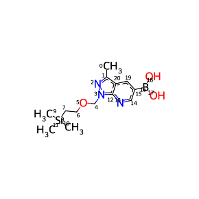 Cc1nn(COCC[Si](C)(C)C)c2ncc(B(O)O)cc12